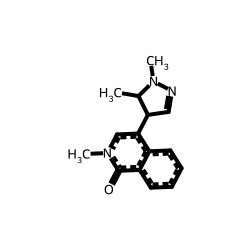 CC1C(c2cn(C)c(=O)c3ccccc23)C=NN1C